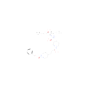 COC(=O)[C@@](C)(NC(C)=O)NC(=O)[C@@H]1CCCN(C(=O)CCC2CCN(C(=O)OCc3ccccc3)CC2)C1